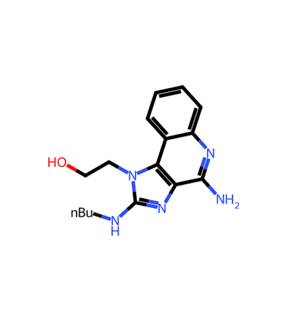 CCCCNc1nc2c(N)nc3ccccc3c2n1CCO